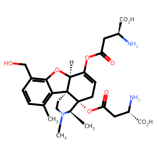 Cc1ccc(CO)c2c1[C@]13CCN(C)[C@H](C)[C@]1(OC(=O)C[C@H](N)C(=O)O)CC=C(OC(=O)C[C@H](N)C(=O)O)[C@@H]3O2